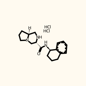 Cl.Cl.O=C(N[C@@H]1CCCc2ccccc21)[C@@H]1CN2CCC[C@H]2CN1